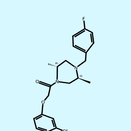 C[C@@H]1CN(Cc2ccc(F)cc2)[C@@H](C)CN1C(=O)COc1cccc(C(F)(F)F)c1